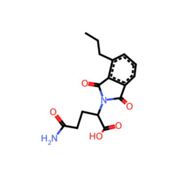 CCCc1cccc2c1C(=O)N(C(CCC(N)=O)C(=O)O)C2=O